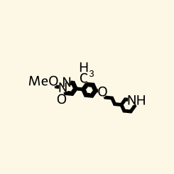 COCn1ncc(-c2ccc(OCCCC3CCCNC3)cc2C)cc1=O